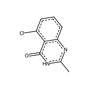 Cc1nc2cccc(Cl)c2c(=O)[nH]1